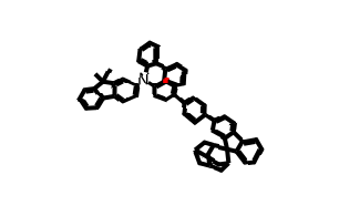 CC1(C)c2ccccc2-c2ccc(N(c3ccc(-c4ccc(-c5ccc6c(c5)C5(c7ccccc7-6)C6CC7CC(C6)CC5C7)cc4)cc3)c3ccccc3-c3ccccc3)cc21